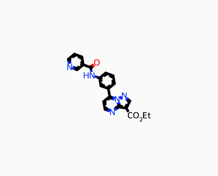 CCOC(=O)c1cnn2c(-c3cccc(NC(=O)c4cccnc4)c3)ccnc12